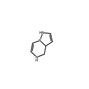 C1=CN2NC=CC2CN1